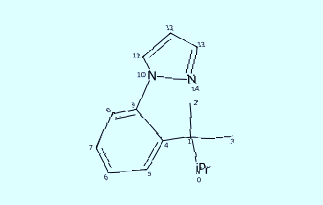 CC(C)C(C)(C)c1ccccc1-n1cccn1